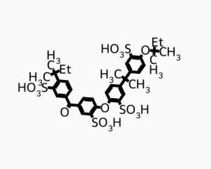 CCC(C)(C)Oc1ccc(C(C)(C)c2ccc(Oc3ccc(C(=O)c4ccc(C(C)(C)CC)c(S(=O)(=O)O)c4)cc3S(=O)(=O)O)c(S(=O)(=O)O)c2)cc1S(=O)(=O)O